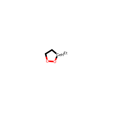 C[CH2][GeH]1[CH2]CO[O]1